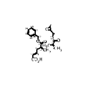 C=C(C)C(=O)OCC1CO1.C=C(CC=CC(=O)O)C(=O)OCc1ccccc1